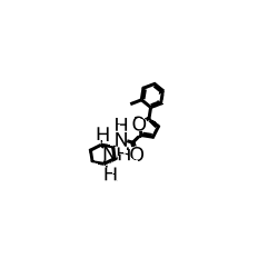 Cc1ccccc1-c1ccc(C(=O)N[C@@H]2C[C@H]3CC[C@@H]2N3)o1